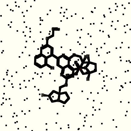 CCc1cccc2cc(OCOC)cc(-c3cc4nc(OC[C@@]56CCCN5C[C@@H](F)C6)nc5c4c(n3)OC[C@@H]3[C@@H]4CC[C@H](CN53)N4C(=O)OC(C)(C)C)c12